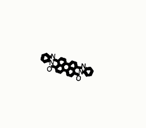 O=C1C2=C3C4=C(C=CC3c3nc5ccccc5n31)c1ccc3c5c1c(ccc5c(=O)n1c5ccccc5nc31)C4C=C2